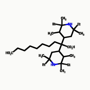 CCC1(C)CC(C(CCCCCCCC(=O)O)(C(=O)O)C2CC(C)(CC)NC(C)(CC)C2C)C(C)C(C)(CC)N1